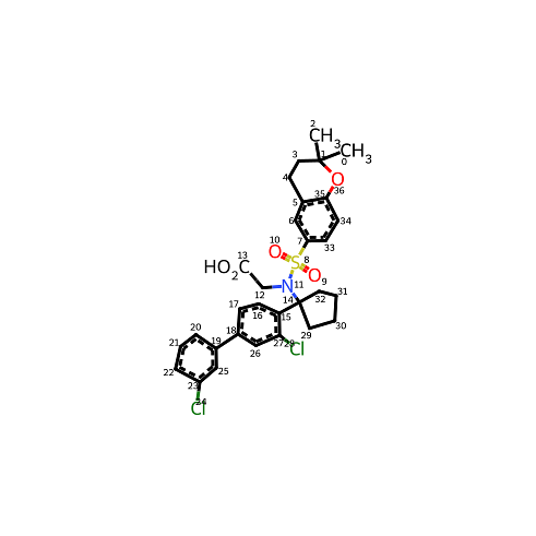 CC1(C)CCc2cc(S(=O)(=O)N(CC(=O)O)C3(c4ccc(-c5cccc(Cl)c5)cc4Cl)CCCC3)ccc2O1